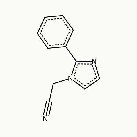 N#CCn1ccnc1-c1ccccc1